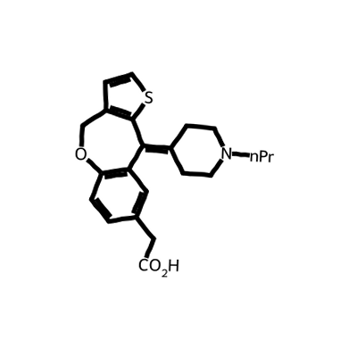 CCCN1CCC(=C2c3cc(CC(=O)O)ccc3OCc3ccsc32)CC1